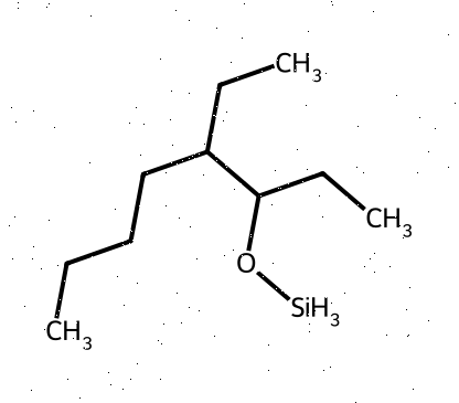 CCCCC(CC)C(CC)O[SiH3]